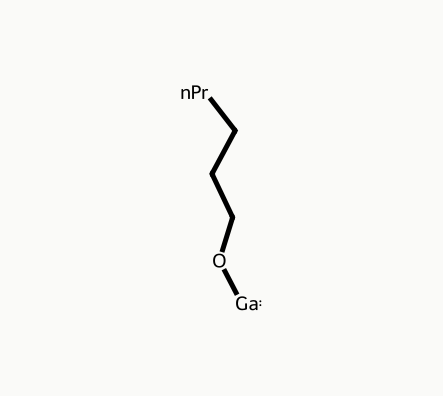 CCCCCC[O][Ga]